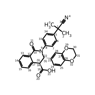 CC(C)(C#N)c1ccc(N2C(=O)c3ccccc3[C@H](C(=O)O)[C@H]2c2ccc3c(c2)OCCO3)cc1